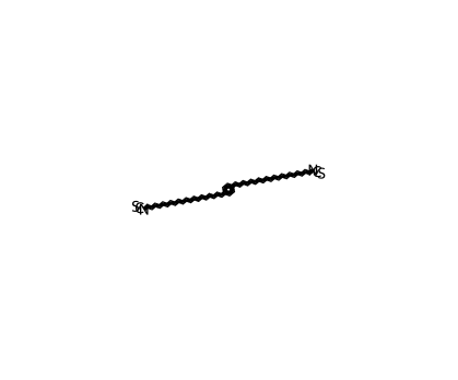 S=C=NCCCCCCCCCCCCCCCCCCCCc1ccc(CCCCCCCCCCCCCCCCCCCCN=C=S)cc1